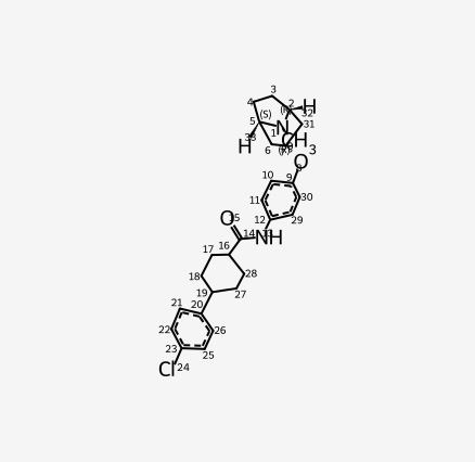 CN1[C@@H]2CC[C@H]1C[C@@H](Oc1ccc(NC(=O)C3CCC(c4ccc(Cl)cc4)CC3)cc1)C2